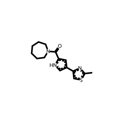 Cc1nc(-c2c[nH]c(C(=O)N3CCCCCC3)c2)cs1